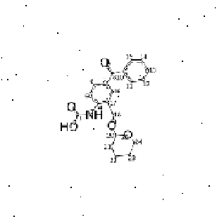 O=C(O)Nc1ccc(C(=O)c2ccccc2)cc1COC1CCCCO1